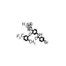 Cc1ccc(C(F)(F)F)cc1COc1cc(NC(=O)c2ccc(Br)cc2)ccc1NCS(C)(=O)=O